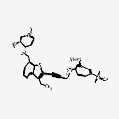 COc1cc(P(C)(C)=O)ccc1NCC#Cc1sc2c(CN[C@H]3CCN(C)C[C@@H]3F)cccc2c1CC(F)(F)F